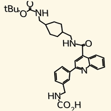 CC(C)(C)OC(=O)NCC1CCC(CNC(=O)c2cc(-c3cccc(CNC(=O)O)c3)nc3ccccc23)CC1